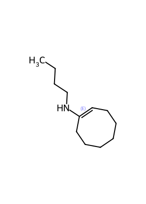 CCCCN/C1=C/CCCCCC1